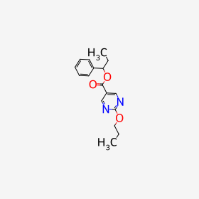 CCCOc1ncc(C(=O)OC(CC)c2ccccc2)cn1